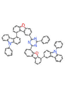 c1ccc(-c2nc(-c3ccc4oc5cccc(-c6cccc7c6c6ccccc6n7-c6ccccc6)c5c4c3)nc(-c3cccc4c3oc3c(-c5ccc6c(c5)c5ccccc5n6-c5ccccc5)cccc34)n2)cc1